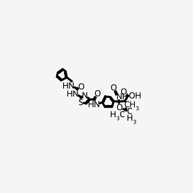 CC(C)(C)OC(CC(=O)O)(NC=O)c1ccc(NC(=O)c2csc(NC(=O)NCc3ccccc3)n2)cc1